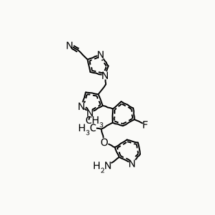 CC(Oc1cccnc1N)c1cc(F)ccc1-c1c(Cn2cnc(C#N)c2)cnn1C